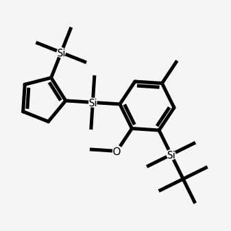 COc1c([Si](C)(C)C2=C([Si](C)(C)C)C=CC2)cc(C)cc1[Si](C)(C)C(C)(C)C